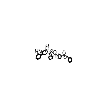 O=C(OCc1ccccc1)[C@H]1CCN(C(=O)[C@@H]2CCCN2C(=O)[C@H]2Cc3c([nH]c4ccccc34)CN2)C1